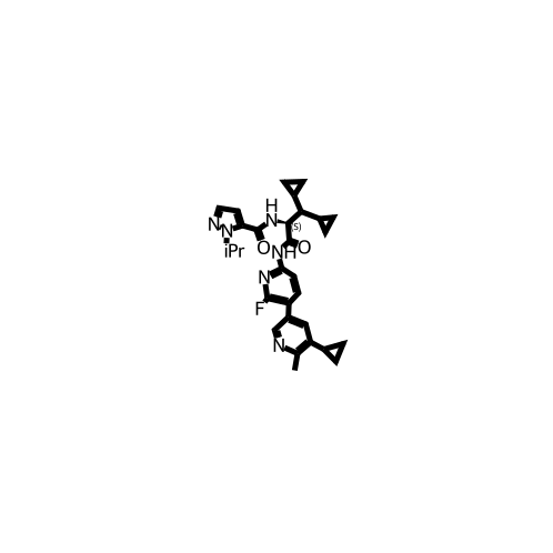 Cc1ncc(-c2ccc(NC(=O)[C@@H](NC(=O)c3ccnn3C(C)C)C(C3CC3)C3CC3)nc2F)cc1C1CC1